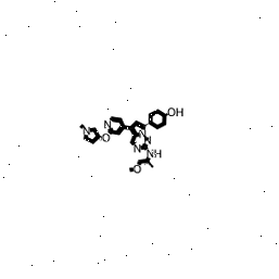 COC[C@H](C)Nc1ncc2c(-c3ccnc(O[C@@H]4CCN(C)C4)c3)cc([C@H]3CC[C@H](O)CC3)n2n1